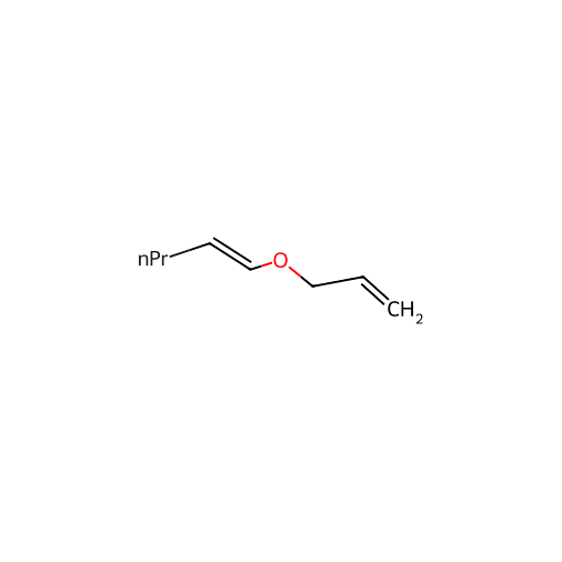 C=CCOC=CCCC